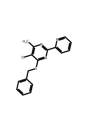 Cc1nc(-c2ccccn2)nc(SCc2ccccc2)c1Cl